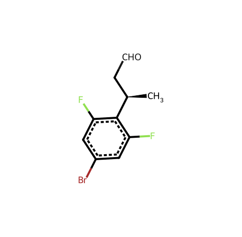 C[C@H](CC=O)c1c(F)cc(Br)cc1F